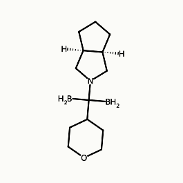 BC(B)(C1CCOCC1)N1C[C@H]2CCC[C@H]2C1